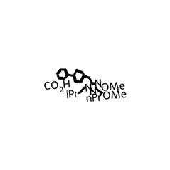 CCCC(OC)(OC)c1nc(Cc2ccc(-c3ccccc3C(=O)O)cc2)n(CCC(C)C)n1